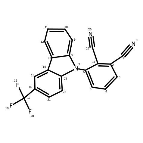 N#Cc1cccc(-n2c3ccccc3c3cc(C(F)(F)F)ccc32)c1C#N